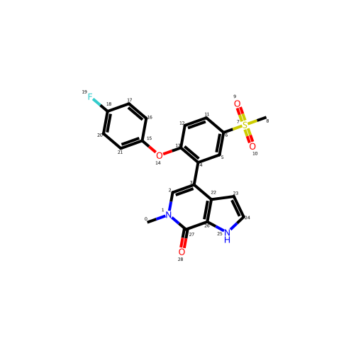 Cn1cc(-c2cc(S(C)(=O)=O)ccc2Oc2ccc(F)cc2)c2cc[nH]c2c1=O